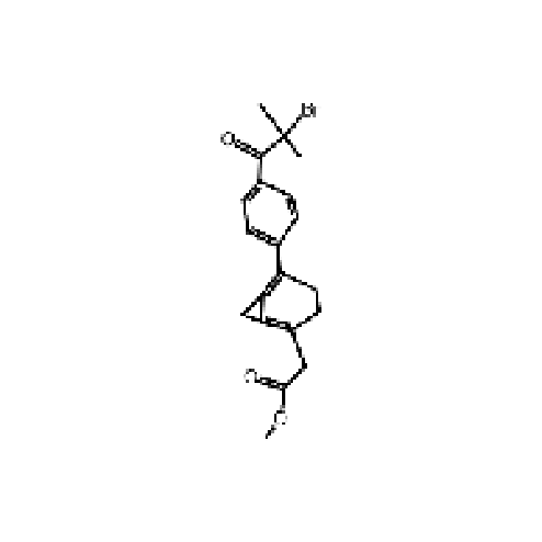 COC(=O)CC1=C2CC2=C(c2ccc(C(=O)C(C)(C)Br)cc2)CC1